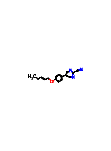 CC/C=C/COc1ccc(-c2cnc(C#N)nc2)cc1